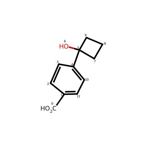 O=C(O)c1ccc(C2(O)CCC2)cc1